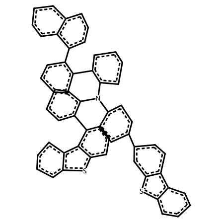 c1ccc(-c2cccc3ccccc23)c(-c2ccccc2N(c2ccc(-c3ccc4c(c3)sc3ccccc34)cc2)c2ccccc2-c2cccc3sc4ccccc4c23)c1